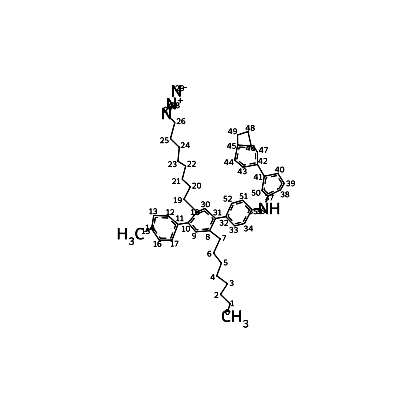 CCCCCCCCc1cc(-c2ccc(C)cc2)c(CCCCCCCCN=[N+]=[N-])cc1-c1ccc(Nc2cccc(-c3ccc4c(c3)CC4)c2)cc1